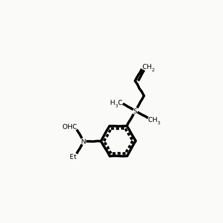 C=CCS(C)(C)c1cccc(N(C=O)CC)c1